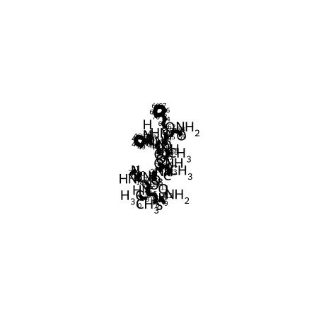 CC(C)C[C@@H](CN1CSC[C@H]1C(N)=O)NC(=O)[C@H](Cc1cnc[nH]1)NC(=O)CNC(=O)[C@@H](NC(=O)[C@H](C)NC(=O)[C@H](Cc1c[nH]c2ccccc12)NC(=O)[C@H](CCC(N)=O)NC(=O)CCc1ccccc1)C(C)C